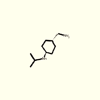 CC(C)N[C@H]1CC[C@H](CN)CC1